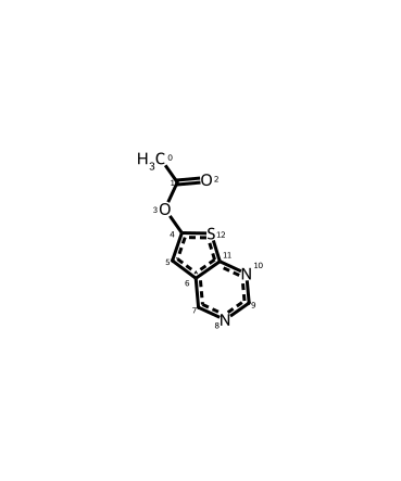 CC(=O)Oc1cc2cncnc2s1